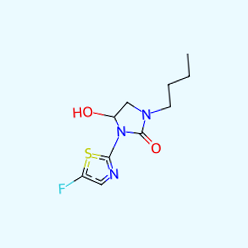 CCCCN1CC(O)N(c2ncc(F)s2)C1=O